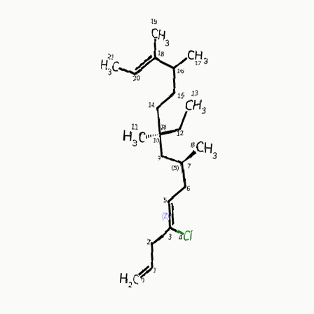 C=CC/C(Cl)=C/C[C@H](C)C[C@](C)(CC)CCC(C)C(C)=CC